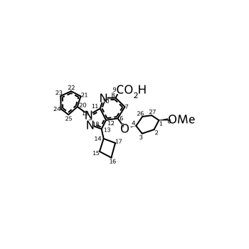 CO[C@H]1CC[C@H](Oc2cc(C(=O)O)nc3c2c(C2CCC2)nn3-c2ccccc2)CC1